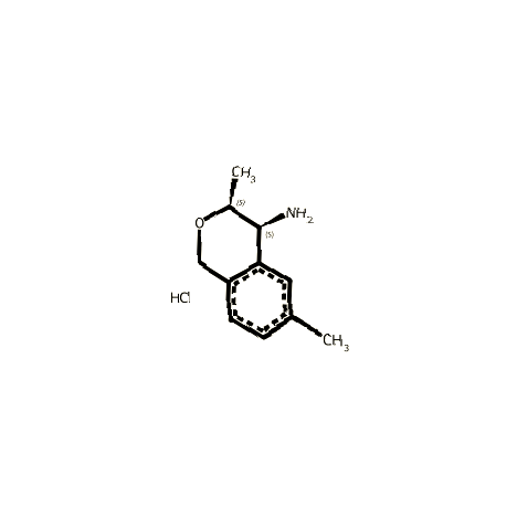 Cc1ccc2c(c1)[C@H](N)[C@H](C)OC2.Cl